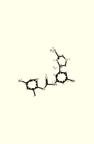 Cc1cc(Br)cnc1OC(=O)Nc1cc(Br)cc([C@]2(C)COCC(N)=N2)c1